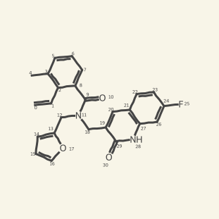 C=Cc1c(C)cccc1C(=O)N(Cc1ccco1)Cc1cc2ccc(F)cc2[nH]c1=O